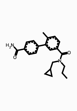 CCCN(CC1CC1)C(=O)c1ccc(C)c(-c2ccc(C(N)=O)cc2)c1